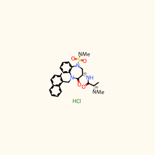 CN[C@@H](C)C(=O)N[C@H]1CN(S(=O)(=O)NC)c2ccccc2N(Cc2c(C)ccc3ccccc23)C1=O.Cl